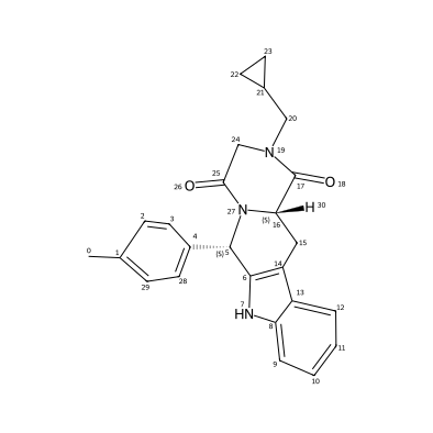 Cc1ccc([C@H]2c3[nH]c4ccccc4c3C[C@H]3C(=O)N(CC4CC4)CC(=O)N23)cc1